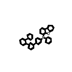 c1ccc(-c2ccccc2-c2cccc(-c3ccc(N(c4ccccc4)c4cccc5c4oc4ccccc45)cc3)c2)cc1